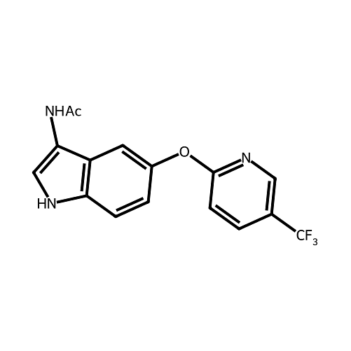 CC(=O)Nc1c[nH]c2ccc(Oc3ccc(C(F)(F)F)cn3)cc12